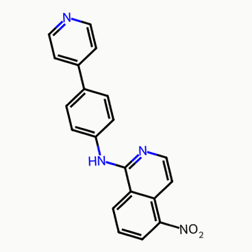 O=[N+]([O-])c1cccc2c(Nc3ccc(-c4ccncc4)cc3)nccc12